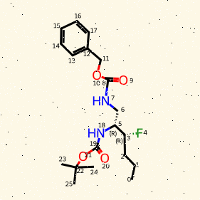 CCC[C@@H](F)[C@@H](CNC(=O)OCc1ccccc1)NC(=O)OC(C)(C)C